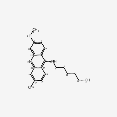 COc1ccc2c(NCCCCCO)c3ccc(Cl)cc3nc2c1